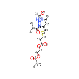 C=C(C)C(=O)OCCOC(=O)CCSCC(CC(C)NC(C)=O)NC(=O)C(C)C